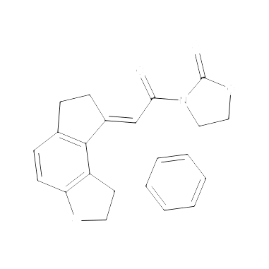 O=C(C=C1CCc2ccc3c(c21)CCO3)N1C(=O)OC[C@@H]1c1ccccc1